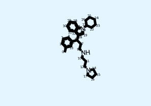 Cc1cccc(C(CCNCCCN2CCCC2)c2cn(C3CCCCC3)c3ccccc23)c1